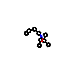 c1ccc(-c2ccc(N(c3ccc(-c4cccc(-c5ccc6ccccc6c5)c4)cc3)c3ccccc3-c3cccc(-c4ccccc4)c3)cc2)cc1